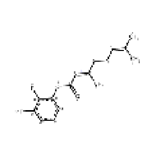 CC(C)=CCC/C(C)=C/C(=O)Oc1cccc(F)c1F